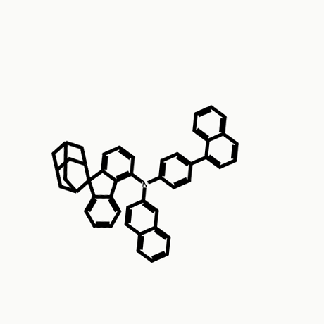 c1ccc2c(c1)-c1c(N(c3ccc(-c4cccc5ccccc45)cc3)c3ccc4ccccc4c3)cccc1C21C2CC3CC(C2)CC1C3